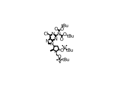 C=C1[C@H](CO[Si](C)(C)C(C)(C)C)[C@@H](O[Si](C)(C)C(C)(C)C)C[C@@H]1n1cnc2c(Cl)nc(N(C(=O)OC(C)(C)C)C(=O)OC(C)(C)C)nc21